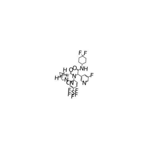 N#CN1C[C@@H]2C[C@@H]2[C@@H]1C(=O)N(c1ccc(S(F)(F)(F)(F)F)cc1)C(C(=O)NC1CCC(F)(F)CC1)c1cncc(F)c1